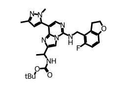 Cc1cc(-c2cnc(NCc3c(F)ccc4c3CCO4)n3cc(C(C)NC(=O)OC(C)(C)C)nc23)n(C)n1